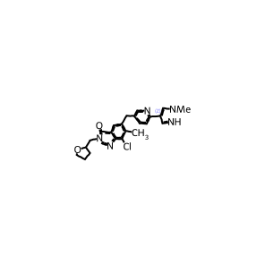 CN/C=C(\C=N)c1ccc(Cc2cc3c(=O)n(CC4CCCO4)cnc3c(Cl)c2C)cn1